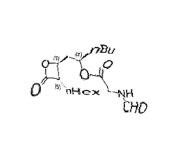 CCCCCC[C@@H]1C(=O)O[C@H]1C[C@@H](CCCC)OC(=O)CNC=O